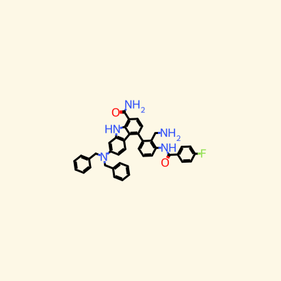 NCc1c(NC(=O)c2ccc(F)cc2)cccc1-c1ccc(C(N)=O)c2[nH]c3cc(N(Cc4ccccc4)Cc4ccccc4)ccc3c12